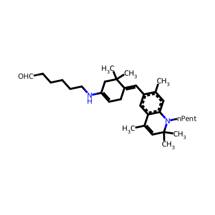 CCCCCN1c2cc(C)c(/C=C3\CC=C(NCCCCCC=O)CC3(C)C)cc2C(C)=CC1(C)C